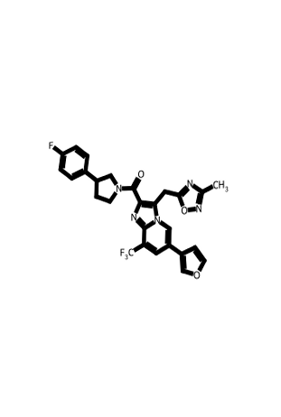 Cc1noc(Cc2c(C(=O)N3CCC(c4ccc(F)cc4)C3)nc3c(C(F)(F)F)cc(-c4ccoc4)cn23)n1